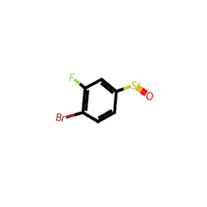 O=[S+]c1ccc(Br)c(F)c1